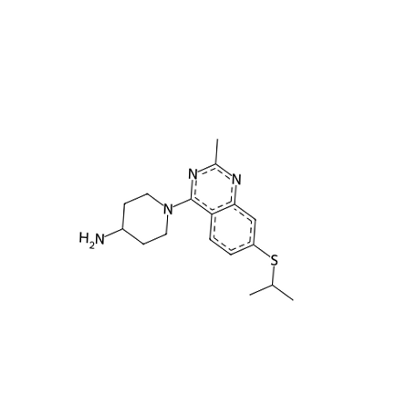 Cc1nc(N2CCC(N)CC2)c2ccc(SC(C)C)cc2n1